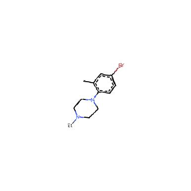 CCN1CCN(c2ccc(Br)cc2C)CC1